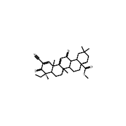 CC[C@]1(C)C(=O)C(C#N)=CC2(C)C3=CC(=O)C4C(CCC5(C(=O)OC)CCC(C)(C)CC45)C3(C)CCC21